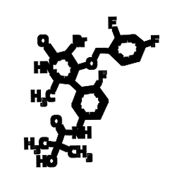 Cc1[nH]c(=O)c(Br)c(OCc2ccc(F)cc2F)c1-c1cc(NC(=O)C(C)(C)O)ccc1F